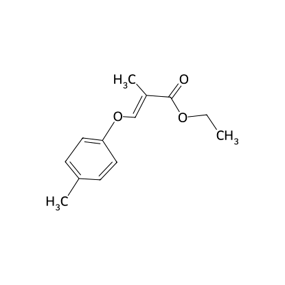 CCOC(=O)/C(C)=C/Oc1ccc(C)cc1